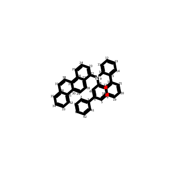 c1ccc(-c2cccc(N(c3ccccc3-c3ccccc3)c3cccc4c3ccc3c5ccccc5ccc43)c2)cc1